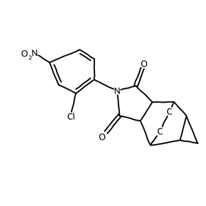 O=C1C2C3CCC(C4CC43)C2C(=O)N1c1ccc([N+](=O)[O-])cc1Cl